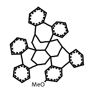 COc1ccc2c(c1)C13CC4CC5(CC6CC(CC(C1)c1ccccc1-2)(c1ccccc1-c1ccccc16)C53)c1ccccc1-c1ccccc14